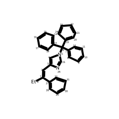 CC/C(=C/c1cn(C(c2ccccc2)(c2ccccc2)c2ccccc2)cn1)c1ccccc1